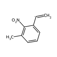 C=[C]c1cccc(C)c1[N+](=O)[O-]